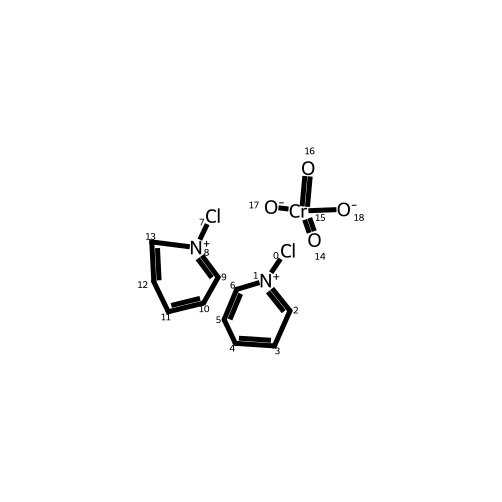 Cl[n+]1ccccc1.Cl[n+]1ccccc1.[O]=[Cr](=[O])([O-])[O-]